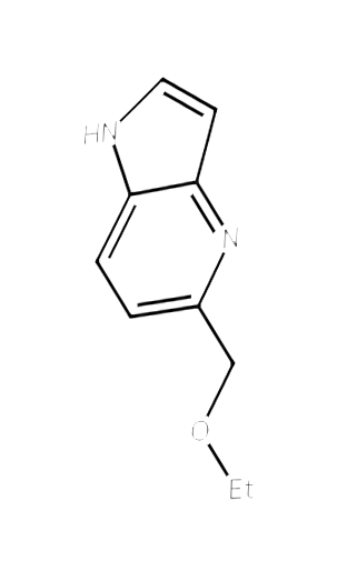 CCOCc1ccc2[nH]ccc2n1